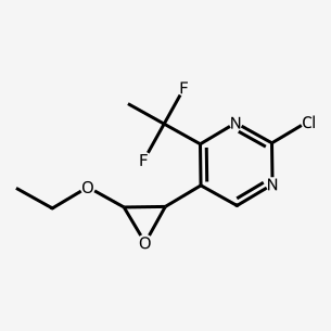 CCOC1OC1c1cnc(Cl)nc1C(C)(F)F